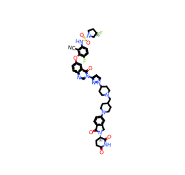 N#Cc1c(NS(=O)(=O)N2CC[C@@H](F)C2)ccc(F)c1Oc1ccc2ncn(-c3ccn(C4CCN(CC5CCN(c6ccc7c(c6)CN([C@H]6CCC(=O)NC6=O)C7=O)CC5)CC4)n3)c(=O)c2c1